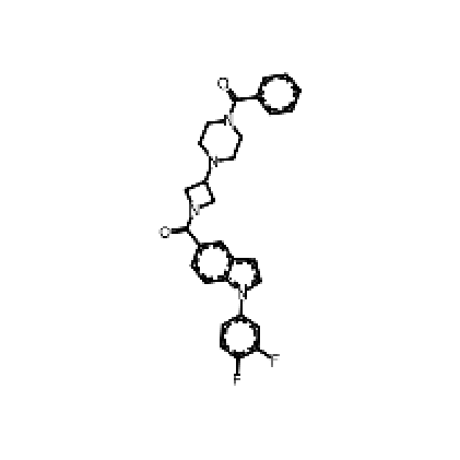 O=C(c1ccccc1)N1CCN(C2CN(C(=O)c3ccc4c(ccn4-c4ccc(F)c(F)c4)c3)C2)CC1